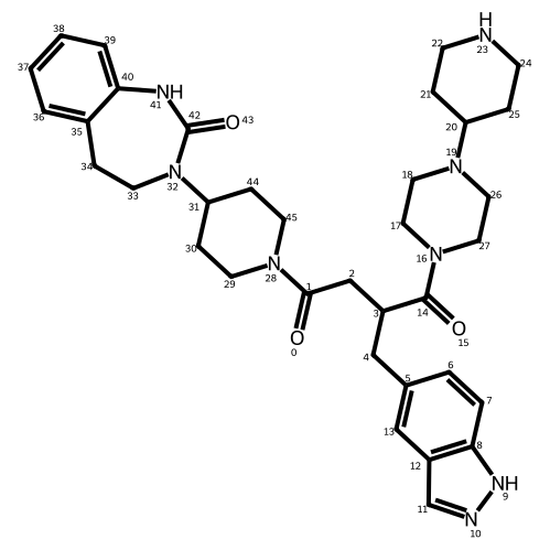 O=C(CC(Cc1ccc2[nH]ncc2c1)C(=O)N1CCN(C2CCNCC2)CC1)N1CCC(N2CCc3ccccc3NC2=O)CC1